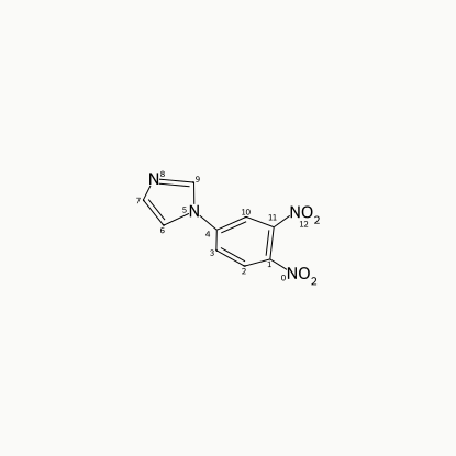 O=[N+]([O-])c1ccc(-n2ccnc2)cc1[N+](=O)[O-]